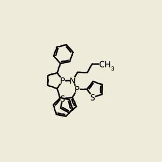 CCCCN(P(c1cccs1)c1cccs1)P1C(c2ccccc2)CCC1c1ccccc1